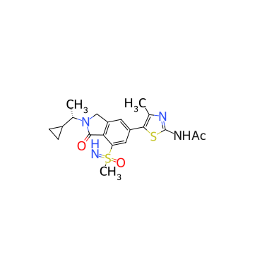 CC(=O)Nc1nc(C)c(-c2cc3c(c(S(C)(=N)=O)c2)C(=O)N([C@@H](C)C2CC2)C3)s1